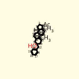 CC(=O)[C@H]1CC[C@H]2[C@@H]3CCC4CC(O)(Cc5ccccc5)CC[C@]4(C)[C@H]3CC[C@]12C